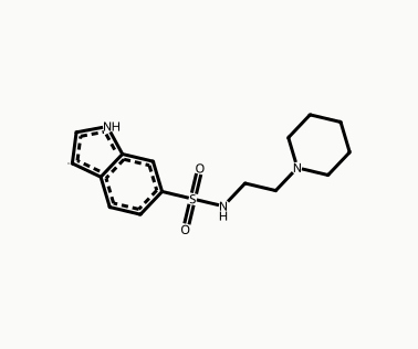 O=S(=O)(NCCN1CCCCC1)c1ccc2[c]c[nH]c2c1